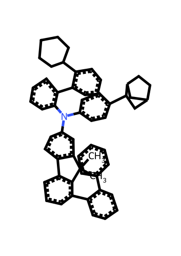 CC1(C)c2cc(N(c3ccc(C4CC5CCC4C5)cc3)c3ccccc3-c3ccccc3C3CCCCC3)ccc2-c2cccc(-c3ccccc3-c3ccccc3)c21